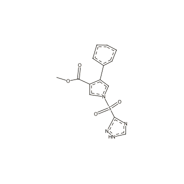 COC(=O)c1cn(S(=O)(=O)c2nc[nH]n2)cc1-c1ccccc1